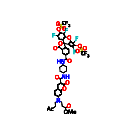 COC(=O)CCN(CCC(C)=O)c1ccc2cc(C(=O)N[C@H]3CC[C@H](NC(=O)c4ccc5c(c4)C(=O)OC54c5cc(F)c(OS(=O)(=O)C(F)(F)F)c(F)c5Oc5c4cc(F)c(OS(=O)(=O)C(F)(F)F)c5F)CC3)c(=O)oc2c1